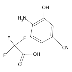 N#Cc1ccc(N)c(O)c1.O=C(O)C(F)(F)F